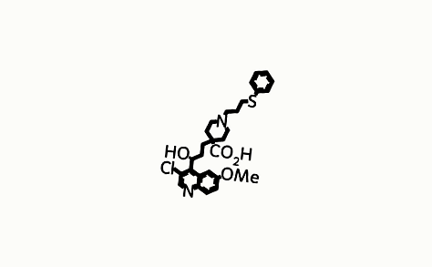 COc1ccc2ncc(Cl)c([C@@H](O)CCC3(C(=O)O)CCN(CCCSc4ccccc4)CC3)c2c1